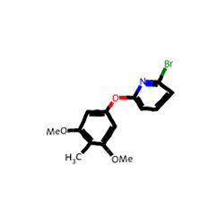 COc1cc(Oc2cccc(Br)n2)cc(OC)c1C